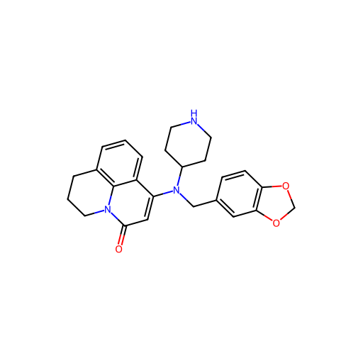 O=c1cc(N(Cc2ccc3c(c2)OCO3)C2CCNCC2)c2cccc3c2n1CCC3